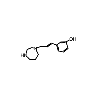 Oc1cccc(C=CCN2CCCNCC2)c1